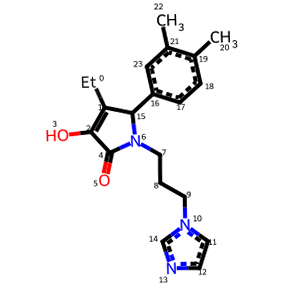 CCC1=C(O)C(=O)N(CCCn2ccnc2)C1c1ccc(C)c(C)c1